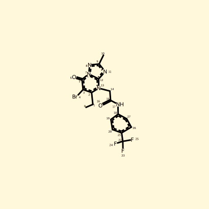 CCc1c(Br)c(=O)n2nc(C)nc2n1CC(=O)Nc1ccc(C(F)(F)F)cc1